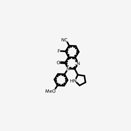 COc1ccc(-n2c(C3CCCN3)nc3ccc(C#N)c(F)c3c2=O)cc1